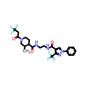 CC1CN(C(=O)CC(F)(F)F)CCC1C(=O)NCCNC(=O)c1cn(-c2ccccc2)nc1C(F)(F)F